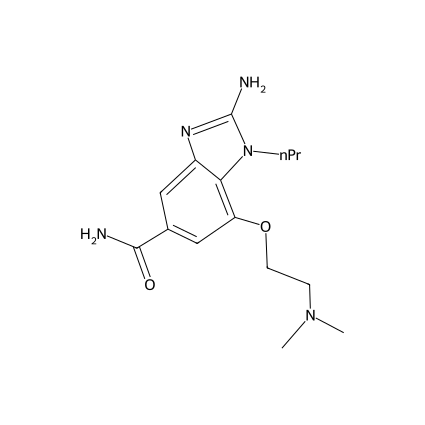 CCCn1c(N)nc2cc(C(N)=O)cc(OCCN(C)C)c21